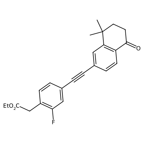 CCOC(=O)Cc1ccc(C#Cc2ccc3c(c2)C(C)(C)CCC3=O)cc1F